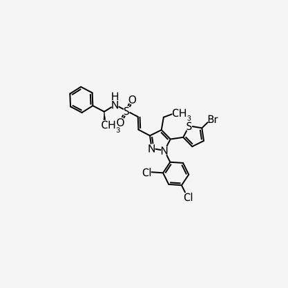 CCc1c(/C=C/S(=O)(=O)N[C@@H](C)c2ccccc2)nn(-c2ccc(Cl)cc2Cl)c1-c1ccc(Br)s1